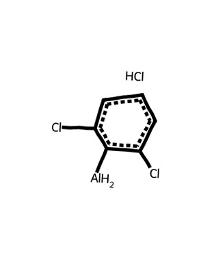 Cl.[AlH2][c]1c(Cl)cccc1Cl